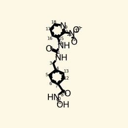 O=C(NCc1ccc(C(=O)NO)cc1)Nc1cccnc1[N+](=O)[O-]